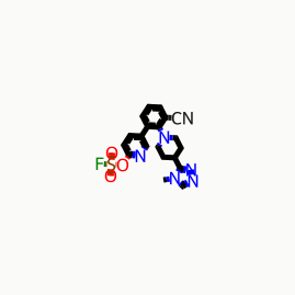 Cn1cnnc1C1CCN(c2c(C#N)cccc2-c2ccc(OS(=O)(=O)F)nc2)CC1